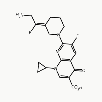 NC/C(F)=C1\CCCN(c2nc3c(cc2F)c(=O)c(C(=O)O)cn3C2CC2)C1